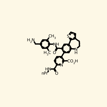 CCCNC(=O)c1ccc(-c2cc3c(cc2C(=O)Nc2c(C)cc(CN)cc2C)-c2sccc2CCN3)c(C(=O)O)n1